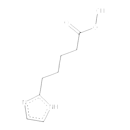 COC(=O)CCCCc1n[c]c[nH]1